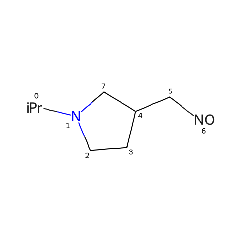 CC(C)N1CCC(CN=O)C1